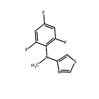 CN(c1cs[c]n1)c1c(F)cc(F)cc1F